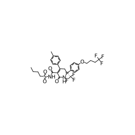 CCCCS(=O)(=O)NC(=O)C1=C(c2ccc(C)cc2)C[C@](c2ccc(OCCCC(F)(F)F)cc2)(C(F)(F)F)NC1=O